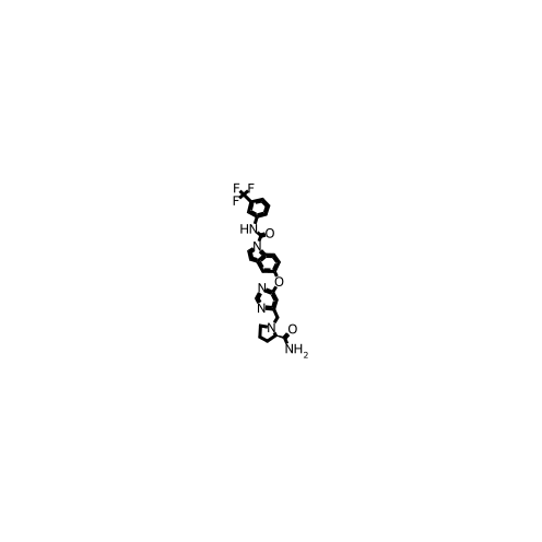 NC(=O)[C@H]1CCCN1Cc1cc(Oc2ccc3c(ccn3C(=O)Nc3cccc(C(F)(F)F)c3)c2)ncn1